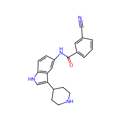 N#Cc1cccc(C(=O)Nc2ccc3[nH]cc(C4CCNCC4)c3c2)c1